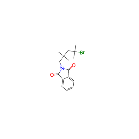 CC(C)(Br)CC(C)(C)CN1C(=O)c2ccccc2C1=O